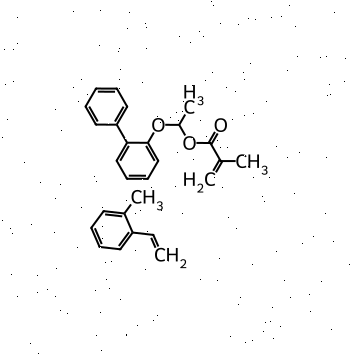 C=C(C)C(=O)OC(C)Oc1ccccc1-c1ccccc1.C=Cc1ccccc1C